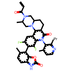 C=CC(=O)N1CC2CCc3c(c4cc(F)c(-c5c(C)ccc6[nH]c(=O)oc56)c(F)c4n(-c4c(C)ccnc4C(C)C)c3=O)N2CC1C